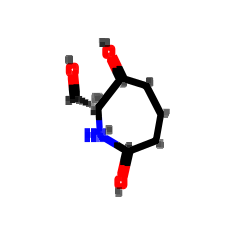 O=[C][C@H]1NC(=O)CCCC1=O